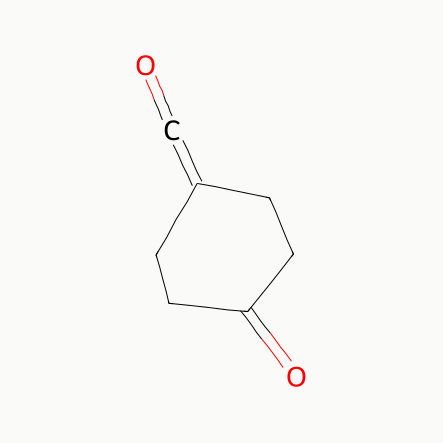 O=C=C1CCC(=O)CC1